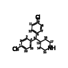 Clc1ccc(C(c2ccc(Cl)cc2)C2CCNCC2)cc1